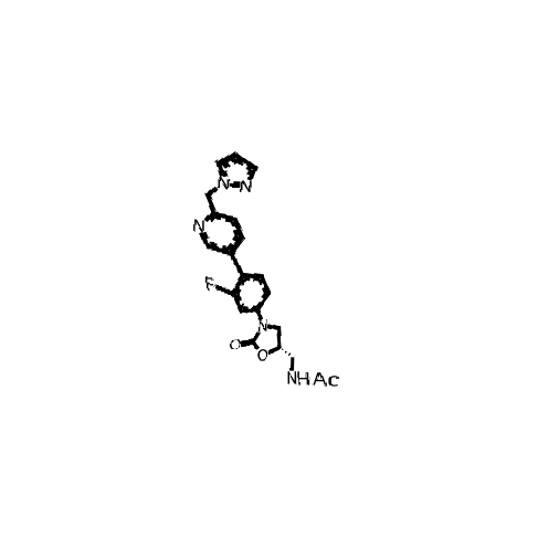 CC(=O)NC[C@H]1CN(c2ccc(-c3ccc(Cn4cccn4)nc3)c(F)c2)C(=O)O1